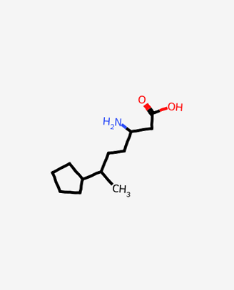 CC(CCC(N)CC(=O)O)C1CCCC1